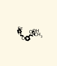 CN(CCc1cccc(OCCN2CCC(F)(F)C2)c1)C(=O)O